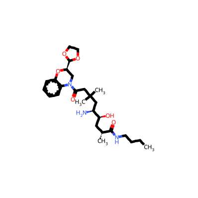 CCCCNC(=O)[C@H](C)C[C@H](O)[C@@H](N)CC(C)(C)CC(=O)N1C[C@H](C2OCCO2)Oc2ccccc21